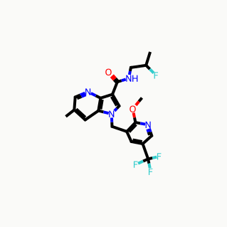 COc1ncc(C(F)(F)F)cc1Cn1cc(C(=O)NCC(C)F)c2ncc(C)cc21